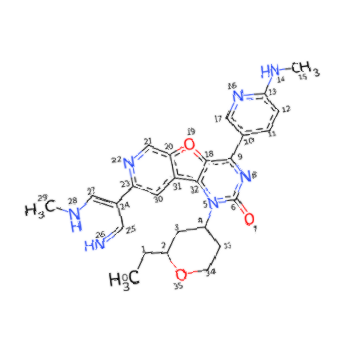 CCC1CC(n2c(=O)nc(-c3ccc(NC)nc3)c3oc4cnc(/C(C=N)=C/NC)cc4c32)CCO1